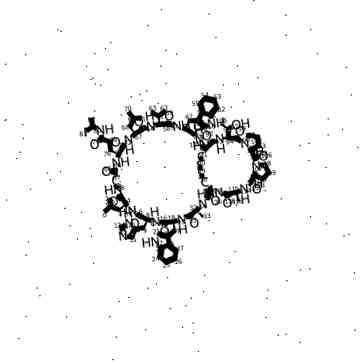 CC(C)C[C@@H]1NC(=O)[C@H](Cc2cnc[nH]2)NC(=O)[C@H](Cc2c[nH]c3ccccc23)NC(=O)[C@H](C)NC(=O)[C@@H]2CSSC[C@H](NC(=O)[C@H](Cc3c[nH]c4ccccc34)NC(=O)[C@H](C(C)C)NC(=O)[C@H](CC(C)C)NC(=O)[C@H](CCC(=O)NC(C)I)NC(=O)CNC1=O)C(=O)N[C@@H]([C@@H](C)O)C(=O)N1CCC[C@@H]1C(=O)N1CCC[C@H]1C(=O)N[C@@H](C)C(=O)N2